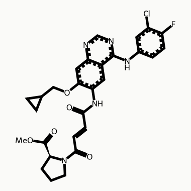 COC(=O)[C@@H]1CCCN1C(=O)/C=C/C(=O)Nc1cc2c(Nc3ccc(F)c(Cl)c3)ncnc2cc1OCC1CC1